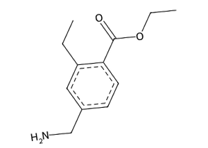 CCOC(=O)c1ccc(CN)cc1CC